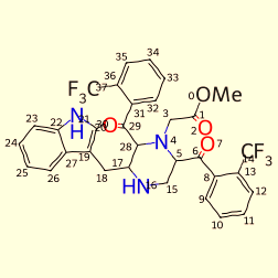 COC(=O)CN1C(C(=O)c2ccccc2C(F)(F)F)CNC(Cc2c[nH]c3ccccc23)C1C(=O)c1ccccc1C(F)(F)F